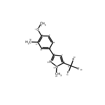 COc1ccc(-c2cc(C(F)(F)F)n(C)n2)cc1C